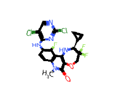 Cn1c(=O)c2c(c3c(F)c(Nc4nc(Cl)ncc4Cl)ccc31)N[C@@H](C1CC1)C(F)(F)CO2